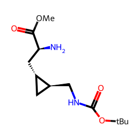 COC(=O)[C@@H](N)C[C@H]1C[C@@H]1CNC(=O)OC(C)(C)C